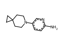 Nc1ccc(N2CCC3(CC2)CC3)cn1